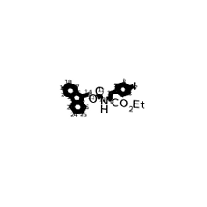 CCOC(=O)C(Cc1ccc(I)cc1)NC(=O)OCC1c2ccccc2-c2ccccc21